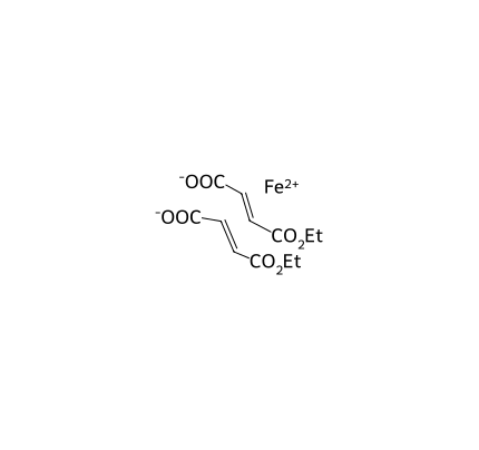 CCOC(=O)C=CC(=O)[O-].CCOC(=O)C=CC(=O)[O-].[Fe+2]